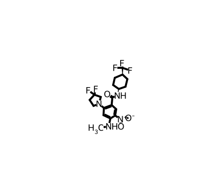 CNc1cc(N2CCC(F)(F)C2)c(C(=O)N[C@H]2CC[C@H](C(F)(F)F)CC2)cc1[N+](=O)[O-]